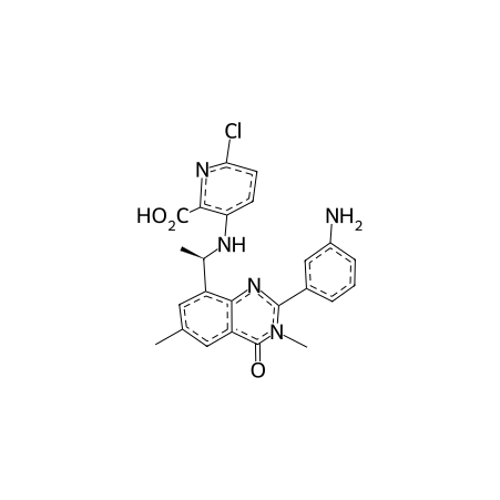 Cc1cc([C@@H](C)Nc2ccc(Cl)nc2C(=O)O)c2nc(-c3cccc(N)c3)n(C)c(=O)c2c1